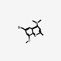 COc1cc(Br)cc2c(N(C)C)cc(C)nc12